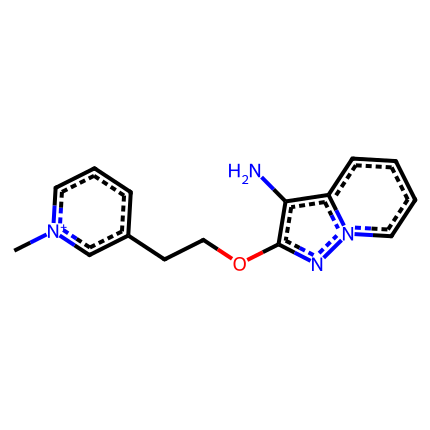 C[n+]1cccc(CCOc2nn3ccccc3c2N)c1